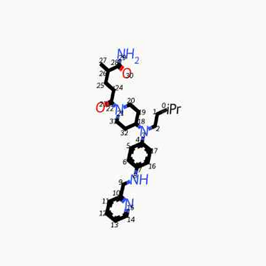 CC(C)CCN(c1ccc(NCc2ccccn2)cc1)C1CCN(C(=O)[CH]CC(C)C(N)=O)CC1